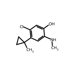 CNc1cc(C2(C)CC2)c(Cl)cc1O